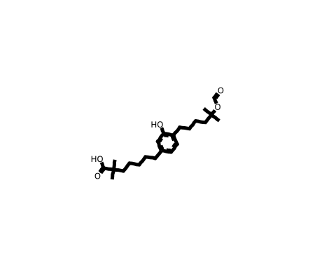 CC(C)(CCCCc1ccc(CCCCCC(C)(C)C(=O)O)cc1O)OC=O